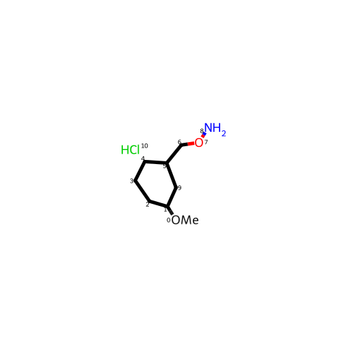 COC1CCCC(CON)C1.Cl